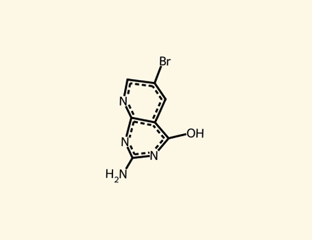 Nc1nc(O)c2cc(Br)cnc2n1